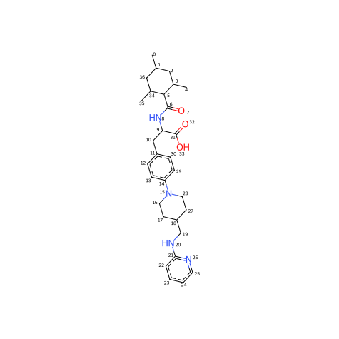 CC1CC(C)C(C(=O)NC(Cc2ccc(N3CCC(CNc4ccccn4)CC3)cc2)C(=O)O)C(C)C1